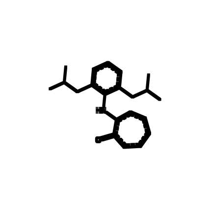 CC(C)Cc1cccc(CC(C)C)c1Nc1cccccc1=O